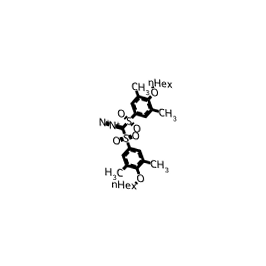 CCCCCCOc1c(C)cc(S(=O)(=O)C(=[N+]=[N-])S(=O)(=O)c2cc(C)c(OCCCCCC)c(C)c2)cc1C